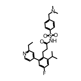 CCc1cc(-c2cc(F)cc(C(C)C)c2CCC(=O)NS(=O)(=O)c2ccc(CN(C)C)cc2)ccn1